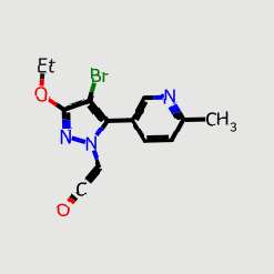 CCOc1nn(C=C=O)c(-c2ccc(C)nc2)c1Br